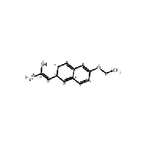 CCOc1ccc2c(c1)=CCC(/C=C(/C)S)C=2